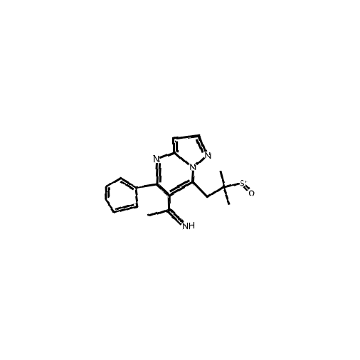 CC(=N)c1c(-c2ccccc2)nc2ccnn2c1CC(C)(C)[S+]=O